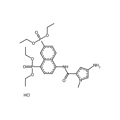 CCOP(=O)(OCC)c1ccc2c(NC(=O)c3cc(N)cn3C)ccc(P(=O)(OCC)OCC)c2c1.Cl